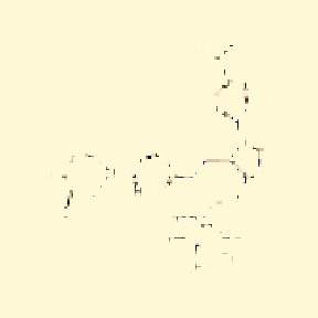 CC(C)(C)[Si](C)(C)OCc1nnn(-c2ccc(C(F)F)cc2)c1COc1ccc(N2CCNC(=O)C2)nn1